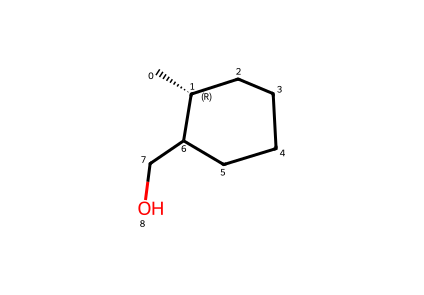 C[C@@H]1CCCCC1CO